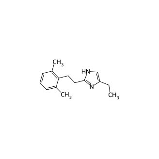 CCc1c[nH]c(CCc2c(C)cccc2C)n1